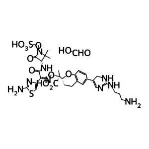 CC1(C)[C@H](NC(=O)/C(=N\O[C@](C)(C(=O)O)[C@H]2CCc3cc(C4=CN=C(NCCCN)NC4)ccc3O2)c2csc(N)n2)C(=O)N1OS(=O)(=O)O.O=CO